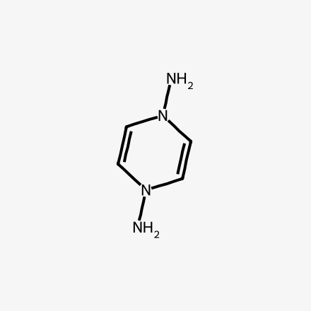 NN1C=CN(N)C=C1